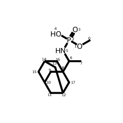 COP(=O)(O)NC(C)C12CC3CC(CC(C3)C1)C2